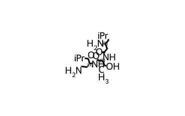 CC(C)C[C@@H](N)CC(=O)N[C@H](C(=O)N[C@@H](CCN)C(=O)C(C)C)C(C)O